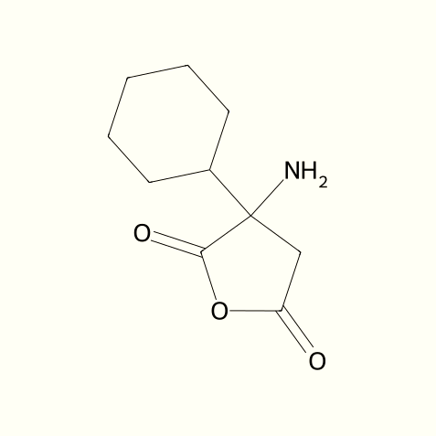 NC1(C2CCCCC2)CC(=O)OC1=O